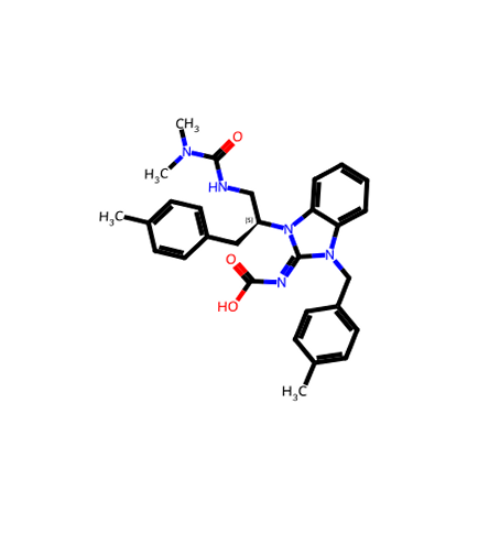 Cc1ccc(C[C@@H](CNC(=O)N(C)C)n2c(=NC(=O)O)n(Cc3ccc(C)cc3)c3ccccc32)cc1